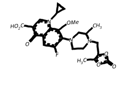 COc1c(N2CCN(Cc3oc(=O)oc3C)C(C)C2)c(F)cc2c(=O)c(C(=O)O)cn(C3CC3)c12